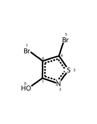 Oc1nsc(Br)c1Br